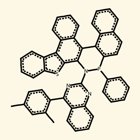 Cc1ccc(-c2nc(N3c4c(c5ccccc5c5c4sc4ccccc45)-c4c(ccc5ccccc45)P3c3ccccc3)nc3ccccc23)c(C)c1